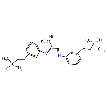 CCCCCCCCC(C=Nc1cccc(CC[Si](C)(C)C)c1)=Nc1cccc(CC[Si](C)(C)C)c1.[Ni]